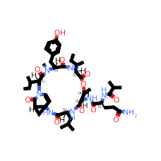 CCC(C)[C@@H]1NC(=O)[C@H](Cc2ccc(O)cc2)N(C)C(=O)[C@H](C(C)CC)N2C=CC3(C[C@H]3C2=O)NC(=O)[C@H](CC(C)C)NC(=O)[C@@H](NC(=O)[C@H](CCC(N)=O)NC(=O)C(C)C)[C@@H](C)OC1=O